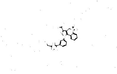 COCc1noc(-c2cccc(-n3nc(C(=O)O)c4c3-c3ccccc3S(=O)(=O)C4)c2)n1